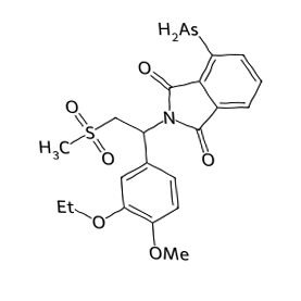 CCOc1cc(C(CS(C)(=O)=O)N2C(=O)c3cccc([AsH2])c3C2=O)ccc1OC